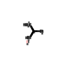 CCCCC(CC)C(=O)O.[B]